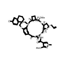 C=CC[C@H]1C[C@@H]2C[C@H](OC)[C@@H]3CC[C@H]3CN3C[C@@]4(CCCc5cc(Cl)ccc54)CCc4ccc(cc43)C(=O)N=[S@](=O)(NC(=O)c3cn(C)nc3OC)C[C@@H](C)[C@H]2O1